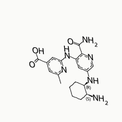 Cc1cc(C(=O)O)cc(Nc2cc(N[C@@H]3CCCC[C@@H]3N)cnc2C(N)=O)n1